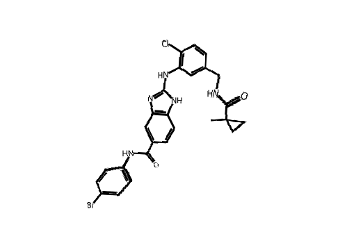 CC1(C(=O)NCc2ccc(Cl)c(Nc3nc4cc(C(=O)Nc5ccc(Br)cc5)ccc4[nH]3)c2)CC1